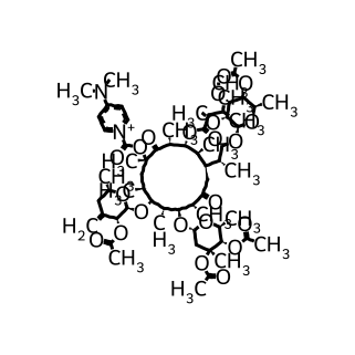 C=C1C[C@@H](C)O[C@@H](O[C@@H]2[C@@H](C)[C@H](O[C@H]3C[C@@](C)(OC(C)=O)[C@@H](OC(C)=O)[C@H](C)O3)[C@@H](C)C(=O)C[C@H]([C@@H](C)CO[C@@H]3O[C@H](C)[C@@H](OC(C)=O)[C@@H](OC)[C@H]3OC)[C@H](C)[C@@H](OC(=O)CC(C)C)[C@@H](C)C(=O)[C@@](C)(OC(=O)[n+]3ccc(N(C)C)cc3)C[C@@H]2C)[C@@H]1OC(C)=O